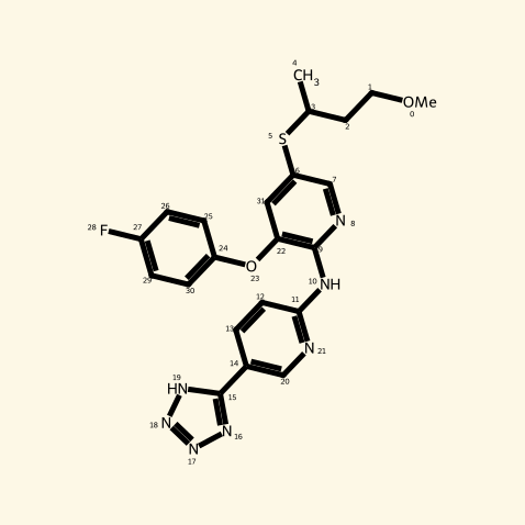 COCCC(C)Sc1cnc(Nc2ccc(-c3nnn[nH]3)cn2)c(Oc2ccc(F)cc2)c1